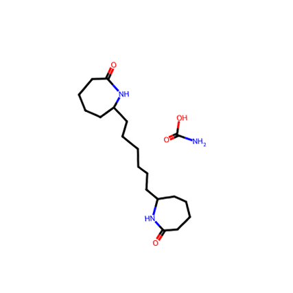 NC(=O)O.O=C1CCCCC(CCCCCCC2CCCCC(=O)N2)N1